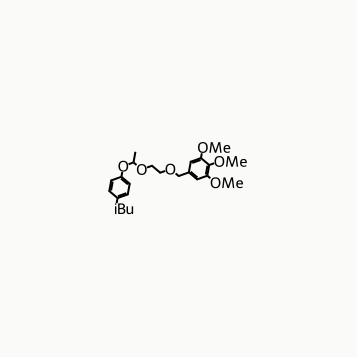 CCC(C)c1ccc(OC(C)OCCOCc2cc(OC)c(OC)c(OC)c2)cc1